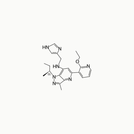 CCOc1ncccc1-c1cc(NCc2c[nH]cn2)c2c(n1)c(C)nn2[C@@H](C)CC